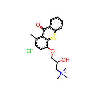 Cc1ccc(OCC(O)C[N+](C)(C)C)c2sc3ccccc3c(=O)c12.[Cl-]